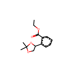 CCOC(=O)c1ccccc1C1COC(C)(C)O1